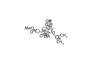 COC(=O)N1CCC([C@H](C(=O)NO)N2CCC(C)(c3ccc(OCc4cc(C)nc(C)c4)cc3)C2=O)CC1.O=C(O)C(F)(F)F